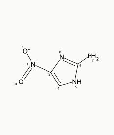 O=[N+]([O-])c1c[nH]c(P)n1